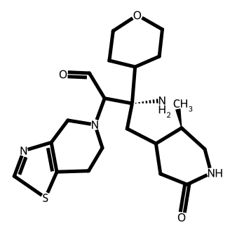 C[C@H]1CNC(=O)CC1C[C@](N)(C1CCOCC1)C(C=O)N1CCc2scnc2C1